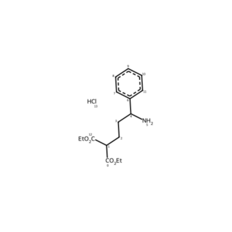 CCOC(=O)C(CCC(N)c1ccccc1)C(=O)OCC.Cl